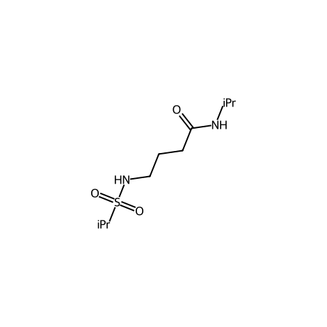 CC(C)NC(=O)CCCNS(=O)(=O)C(C)C